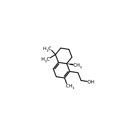 CC1=C(CCO)[C@@]2(C)CCCC(C)(C)C2=CC1